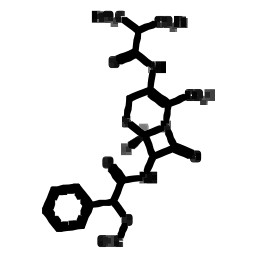 CCOC(=O)C(C(=O)NC1=C(C(=O)O)N2C(=O)C(NC(=O)C(OC=O)c3ccccc3)[C@@H]2SC1)C(=O)OCC